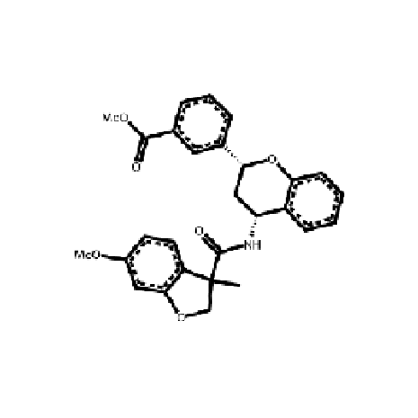 COC(=O)c1cccc([C@H]2C[C@@H](NC(=O)C3(C)COc4cc(OC)ccc43)c3ccccc3O2)c1